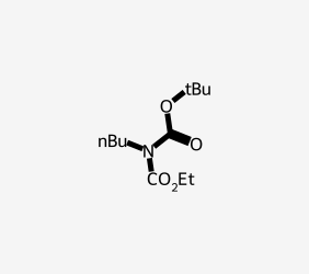 CCCCN(C(=O)OCC)C(=O)OC(C)(C)C